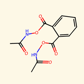 CC(=O)NOC(=O)c1ccccc1C(=O)ONC(C)=O